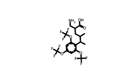 CC(CC(CN)C(=O)O)C(C)c1c(OC(F)(F)F)cc(OC(F)(F)F)cc1OC(F)(F)F